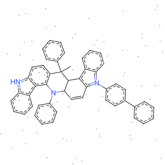 CC1(c2ccccc2)c2ccc3[nH]c4ccccc4c3c2N(c2ccccc2)C2C=Cc3c(c4ccccc4n3-c3ccc(-c4ccccc4)cc3)C21